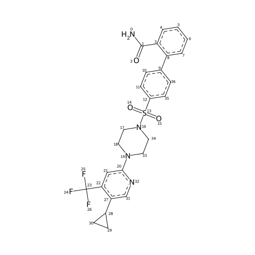 NC(=O)c1ccccc1-c1ccc(S(=O)(=O)N2CCN(c3cc(C(F)(F)F)c(C4CC4)cn3)CC2)cc1